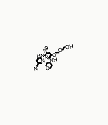 N#Cc1ccc(Nc2nc(NC3CCOCC3)c(OCCOCCO)cc2N=O)nc1